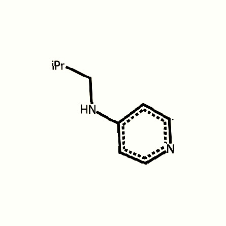 CC(C)CNc1c[c]ncc1